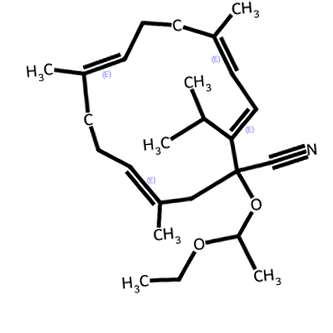 CCOC(C)OC1(C#N)C/C(C)=C/CC/C(C)=C/CC/C(C)=C/C=C/1C(C)C